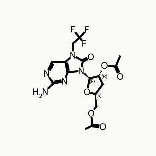 CC(=O)OC[C@@H]1C[C@@H](OC(C)=O)[C@H](n2c(=O)n(CC(F)(F)F)c3cnc(N)nc32)O1